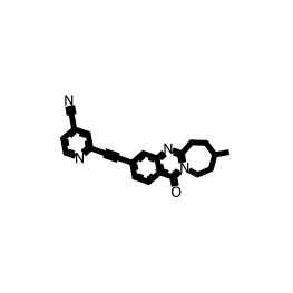 CC1CCc2nc3cc(C#Cc4cc(C#N)ccn4)ccc3c(=O)n2CC1